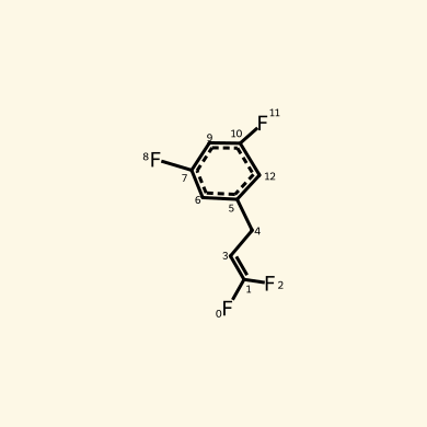 FC(F)=CCc1cc(F)cc(F)c1